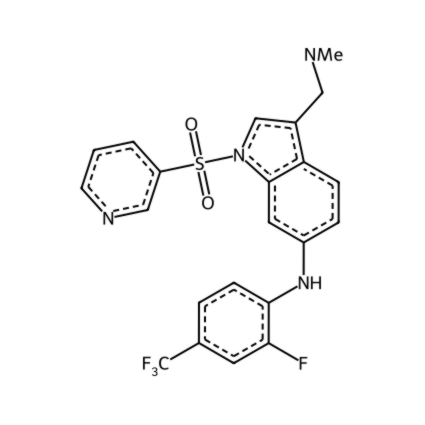 CNCc1cn(S(=O)(=O)c2cccnc2)c2cc(Nc3ccc(C(F)(F)F)cc3F)ccc12